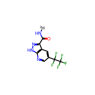 [2H]NC(=O)c1n[nH]c2ncc(C(F)(F)C(F)(F)F)cc12